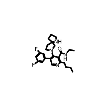 CCCCc1ncc(-c2cc(F)cc(F)c2)c(N2CCC3(CCCN3)C2)c1C(=O)NCC